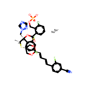 C[C@@H](S[C@H]1CO[C@H](C=CC=Cc2ccc(C#N)cc2F)OC1)[C@@](Cn1cncn1)(OC(=O)c1cccc(Cl)c1COP(=O)([O-])[O-])c1ccc(F)cc1F.[Na+].[Na+]